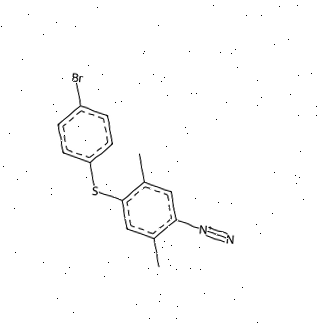 Cc1cc(Sc2ccc(Br)cc2)c(C)cc1[N+]#N